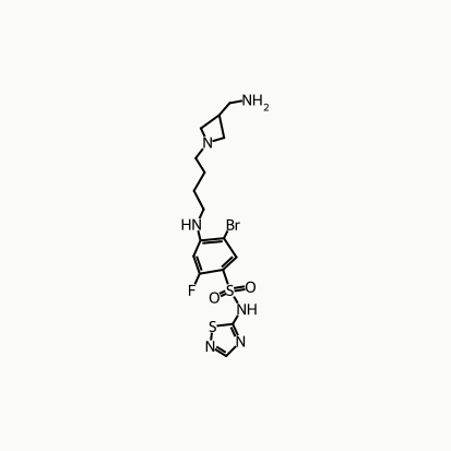 NCC1CN(CCCCNc2cc(F)c(S(=O)(=O)Nc3ncns3)cc2Br)C1